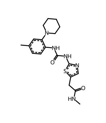 CNC(=O)Cc1cnc(NC(=O)Nc2ccc(C)cc2N2CCCCC2)s1